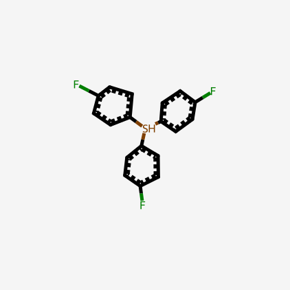 Fc1ccc([SH](c2ccc(F)cc2)c2ccc(F)cc2)cc1